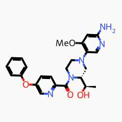 COc1cc(N)ncc1N1CCN(C(=O)c2ccc(Oc3ccccc3)cn2)[C@@H]([C@@H](C)O)C1